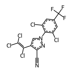 N#Cc1nn(-c2c(Cl)cc(C(F)(F)F)cc2Cl)cc1C(Cl)=C(Cl)Cl